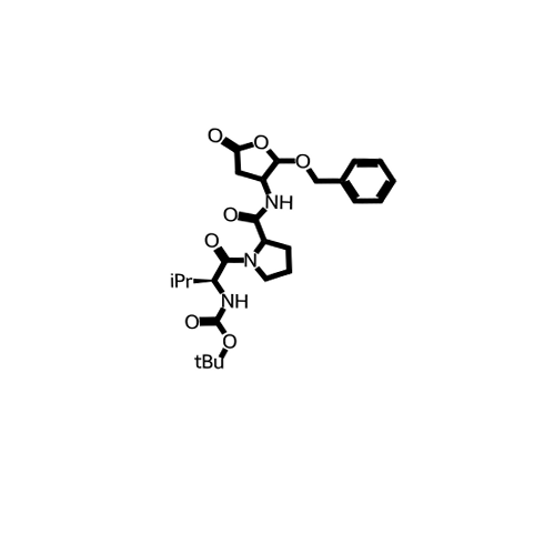 CC(C)[C@H](NC(=O)OC(C)(C)C)C(=O)N1CCCC1C(=O)NC1CC(=O)OC1OCc1ccccc1